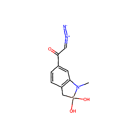 CN1c2cc(C(=O)C=[N+]=[N-])ccc2CS1(O)O